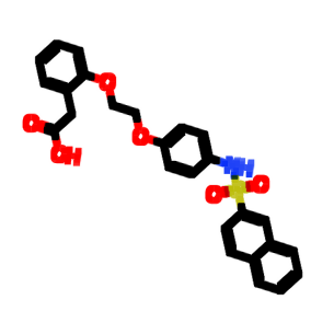 O=C(O)Cc1ccccc1OCCOc1ccc(NS(=O)(=O)c2ccc3ccccc3c2)cc1